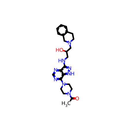 CC(=O)N1CCN(c2ncnc3c(NCC(O)CN4CCc5ccccc5C4)n[nH]c23)CC1